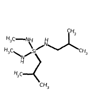 CN[Si](CC(C)C)(NC)NCC(C)C